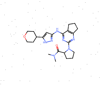 CN(C)C(=O)C1CCCN1c1nc2c(c(Nc3cc(C4CCOCC4)[nH]n3)n1)CCC2